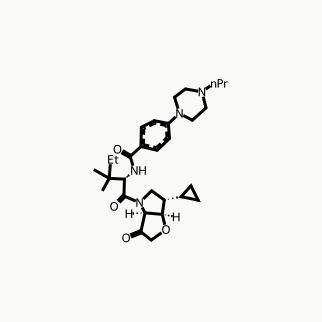 CCCN1CCN(c2ccc(C(=O)N[C@H](C(=O)N3C[C@H](C4CC4)[C@H]4OCC(=O)[C@H]43)C(C)(C)CC)cc2)CC1